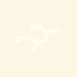 CC(=O)C(CC(C)SC(C)C)S(=O)(=O)O